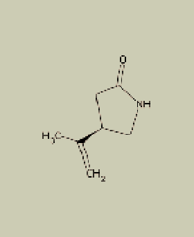 C=C(C)[C@@H]1CNC(=O)C1